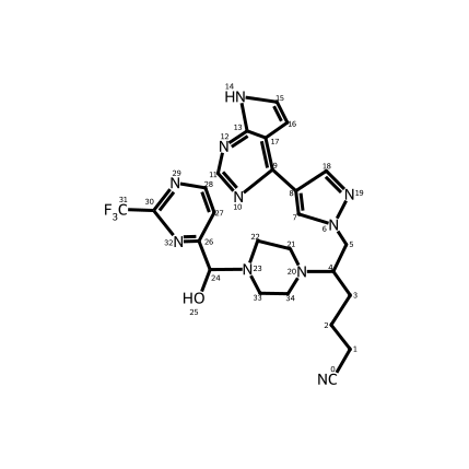 N#CCCCC(Cn1cc(-c2ncnc3[nH]ccc23)cn1)N1CCN(C(O)c2ccnc(C(F)(F)F)n2)CC1